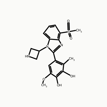 COc1cc(-c2nc3c(S(C)(=O)=O)cccc3n2C2CNC2)c(C)c(O)c1O